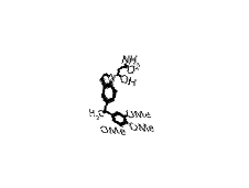 C=C(c1cc(OC)c(OC)c(OC)c1)c1ccc2c(ccn2C(O)CC(N)=O)c1